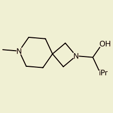 CC(C)C(O)N1CC2(CCN(C)CC2)C1